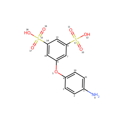 Nc1ccc(Oc2cc(S(=O)(=O)O)cc(S(=O)(=O)O)c2)cc1